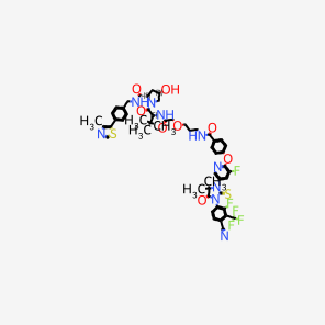 Cc1ncsc1-c1ccc(CNC(=O)[C@@H]2C[C@@H](O)CN2C(=O)[C@@H](NC(=O)COCCCNC(=O)c2ccc(Oc3ncc(N4C(=S)N(c5ccc(C#N)c(C(F)(F)F)c5F)C(=O)C4(C)C)cc3F)cc2)C(C)(C)C)cc1